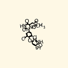 CC(C)c1cc(Oc2c(Cl)cc(-n3nc(CS(C)(=O)=O)c(=O)[nH]c3=O)cc2Cl)n[nH]c1=O